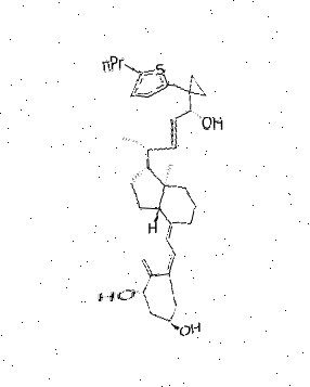 C=C1/C(=C\C=C2/CCC[C@]3(C)[C@@H]([C@H](C)/C=C/[C@@H](O)C4(c5ccc(CCC)s5)CC4)CC[C@@H]23)C[C@@H](O)C[C@@H]1O